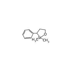 C[Si]1(C)OCCC1c1ccccc1